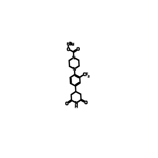 CCCCOC(=O)N1CCN(c2ccc(C3CC(=O)NC(=O)C3)cc2C(F)(F)F)CC1